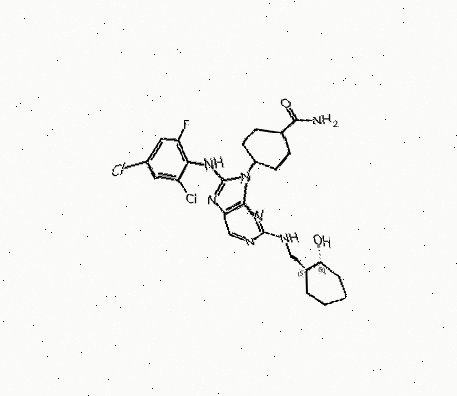 NC(=O)C1CCC(n2c(Nc3c(F)cc(Cl)cc3Cl)nc3cnc(NC[C@@H]4CCCC[C@H]4O)nc32)CC1